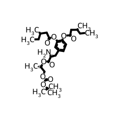 CCC(C)CC(=O)Oc1ccc(C[C@H](N)C(=O)O[C@@H](C)COC(=O)OC(C)(C)C)cc1OC(=O)CC(C)CC